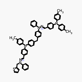 Cc1ccc(N(c2ccc(C)cc2)c2ccc(/C=N/N(c3ccccc3)c3ccc(Cc4ccc(N(c5ccc(C)cc5)c5ccc(/C=N/N(Cc6cccs6)c6ccccc6)cc5)cc4)cc3)cc2)cc1